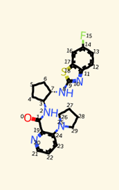 O=C(N[C@H]1CCC[C@@H]1Nc1nc2ccc(F)cc2s1)c1ncccc1N1CCCC1